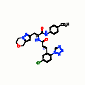 O=C(/C=C/c1cc(Cl)ccc1-n1cnnn1)N[C@@H](Cc1cc2n(n1)CCOC2)C(=O)Nc1ccc(C(=O)O)cc1